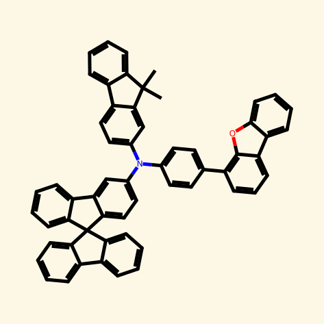 CC1(C)c2ccccc2-c2ccc(N(c3ccc(-c4cccc5c4oc4ccccc45)cc3)c3ccc4c(c3)-c3ccccc3C43c4ccccc4-c4ccccc43)cc21